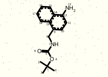 CC(C)(C)OC(=O)NCc1ccc(N)c2ccccc12